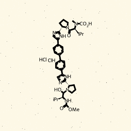 COC(=O)N[C@@H](C(C)C)C(O)N1CCC[C@H]1c1ncc(-c2ccc(-c3ccc(-c4cnc([C@@H]5CCCN5C(=O)[C@H](C(C)C)N(C)C(=O)O)[nH]4)cc3)cc2)[nH]1.Cl.Cl